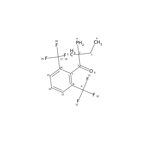 CCC(C)(P)C(=O)c1c(C(F)(F)F)cccc1C(F)(F)F